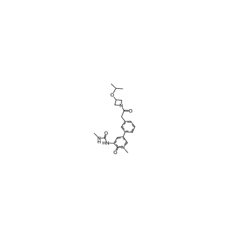 CNC(=O)Nc1cc(-c2cccc(CC(=O)N3CC(OC(C)C)C3)c2)cn(C)c1=O